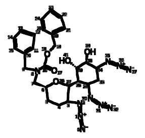 [N-]=[N+]=NC1CC[C@@H](CN(Cc2ccccc2)C(=O)OCc2ccccc2)OC1[C@@H]1C(N=[N+]=[N-])CC(N=[N+]=[N-])[C@H](O)[C@H]1O